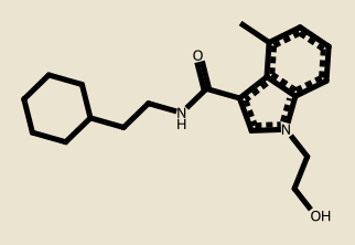 Cc1cccc2c1c(C(=O)NCCC1CCCCC1)cn2CCO